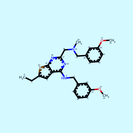 CCc1cc2c(NCc3cccc(OC)c3)nc(CN(C)Cc3cccc(OC)c3)nc2s1